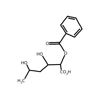 CC(O)CC(O)C(OC(=O)c1ccccc1)C(=O)O